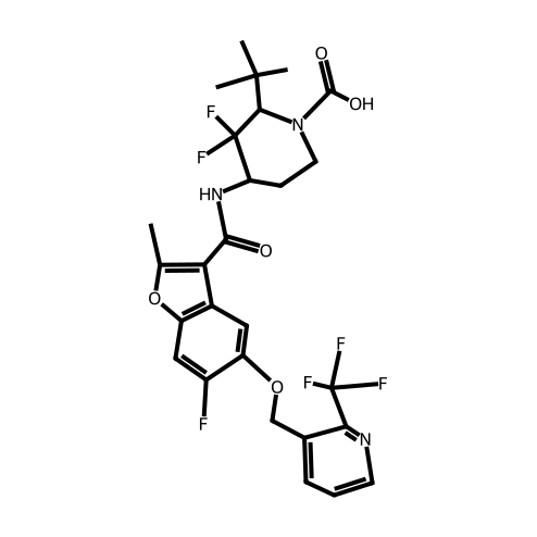 Cc1oc2cc(F)c(OCc3cccnc3C(F)(F)F)cc2c1C(=O)NC1CCN(C(=O)O)C(C(C)(C)C)C1(F)F